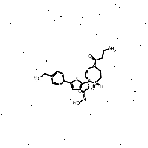 CCc1ccc(-c2ccc([C@@]3(CC(=O)NO)CCN(C(=O)CCN)CCS3(=O)=O)s2)cc1